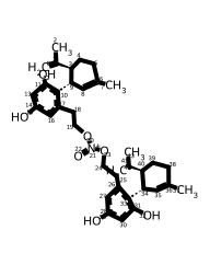 C=C(C)[C@H]1CCC(C)=C[C@@H]1c1c(O)cc(O)cc1CCO[N+](=O)OCCc1cc(O)cc(O)c1[C@H]1C=C(C)CC[C@@H]1C(=C)C